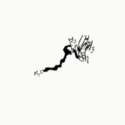 CC=C(OC(C)(C)C)N1CC(CCCCCCCC)CCC1C